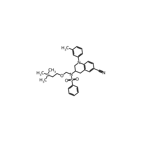 Cc1cccc(N2CC(N(COCC[Si](C)(C)C)S(=O)(=O)c3ccccc3)Cc3cc(C#N)ccc32)c1